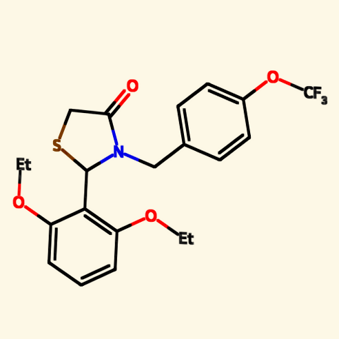 CCOc1cccc(OCC)c1C1SCC(=O)N1Cc1ccc(OC(F)(F)F)cc1